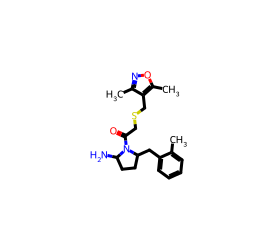 Cc1ccccc1CC1CCC(N)N1C(=O)CSCc1c(C)noc1C